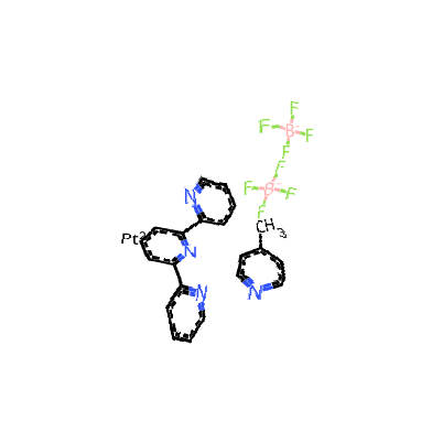 Cc1ccncc1.F[B-](F)(F)F.F[B-](F)(F)F.[Pt+2].c1ccc(-c2cccc(-c3ccccn3)n2)nc1